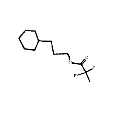 CC(F)(F)C(=O)OCCCC1CCCCC1